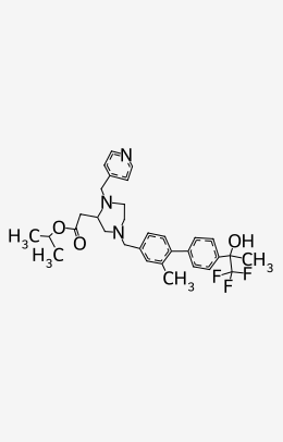 Cc1cc(CN2CCN(Cc3ccncc3)C(CC(=O)OC(C)C)C2)ccc1-c1ccc(C(C)(O)C(F)(F)F)cc1